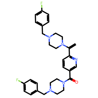 C=C(c1ccc(C(=O)N2CCN(Cc3ccc(F)cc3)CC2)cn1)N1CCN(Cc2ccc(F)cc2)CC1